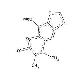 COc1c2occc2cc2c(C)c(C)c(=O)oc12